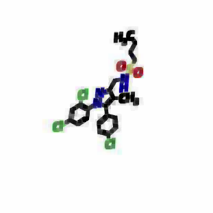 CCCCS(=O)(=O)NCc1nn(-c2ccc(Cl)cc2Cl)c(-c2ccc(Cl)cc2)c1C